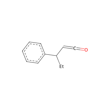 CCC(C=C=O)c1ccccc1